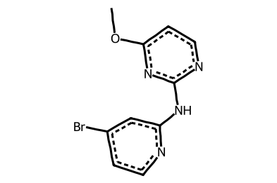 COc1ccnc(Nc2cc(Br)ccn2)n1